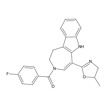 CC1CN=C(C2=CN(C(=O)c3ccc(F)cc3)CCc3c2[nH]c2ccccc32)O1